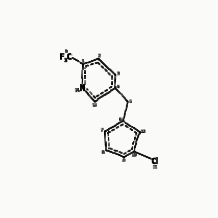 FC(F)(F)c1ccc(Cc2cccc(Cl)c2)cn1